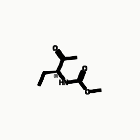 CC[C@H](NC(=O)OC)C(C)=O